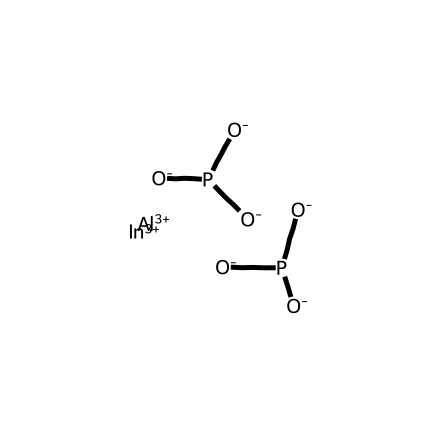 [Al+3].[In+3].[O-]P([O-])[O-].[O-]P([O-])[O-]